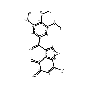 COc1cc(C(=O)c2coc3c2C(=O)C(=O)C=C3Br)cc(OC)c1OC